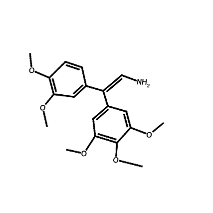 COc1ccc(C(=CN)c2cc(OC)c(OC)c(OC)c2)cc1OC